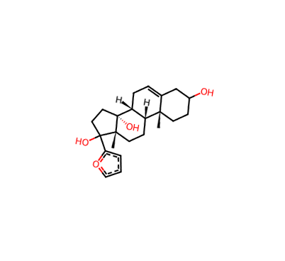 C[C@]12CCC(O)CC1=CC[C@@H]1[C@H]2CC[C@]2(C)C(O)(c3ccco3)CC[C@@]12O